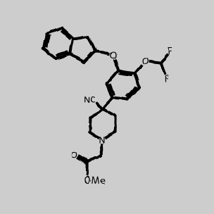 COC(=O)CN1CCC(C#N)(c2ccc(OC(F)F)c(OC3Cc4ccccc4C3)c2)CC1